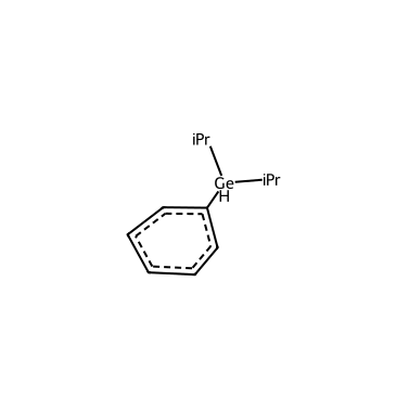 C[CH](C)[GeH]([c]1ccccc1)[CH](C)C